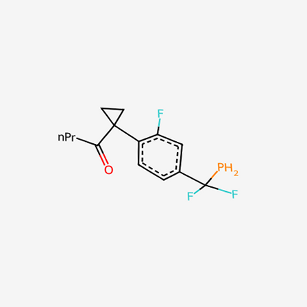 CCCC(=O)C1(c2ccc(C(F)(F)P)cc2F)CC1